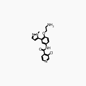 Cn1nccc1-c1cc(NC(=O)c2ccncc2Cl)ccc1OCCN